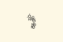 Cc1cc(C)cc(C(=O)Nc2cc(-c3nc4ncccc4o3)ccn2)c1